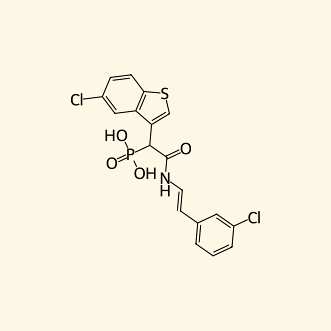 O=C(NC=Cc1cccc(Cl)c1)C(c1csc2ccc(Cl)cc12)P(=O)(O)O